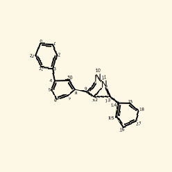 c1ccc(-c2cccc(C3=NN4C3C4c3ccccc3)c2)cc1